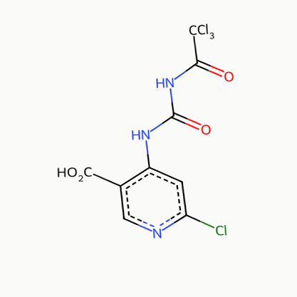 O=C(NC(=O)C(Cl)(Cl)Cl)Nc1cc(Cl)ncc1C(=O)O